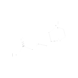 O=C(O)C=CCC1CNCCO1